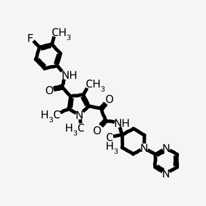 Cc1cc(NC(=O)c2c(C)c(C(=O)C(=O)NC3(C)CCN(c4cnccn4)CC3)n(C)c2C)ccc1F